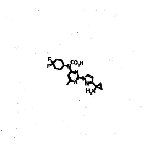 Cc1cc(N(C(=O)O)C2CCC(F)(F)CC2)nc(-n2ccc(C3(N)CC3)n2)n1